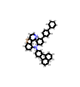 C1=CC(c2ccc(-c3ccc(N(c4ccc5c(c4)-c4cccc6cccc-5c46)c4cccc5sc6ccncc6c45)cc3)cc2)=CCC1